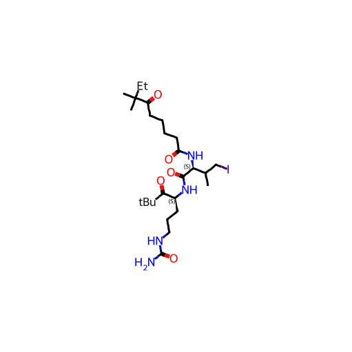 CCC(C)(C)C(=O)CCCCC(=O)N[C@H](C(=O)N[C@@H](CCCNC(N)=O)C(=O)C(C)(C)C)C(C)CI